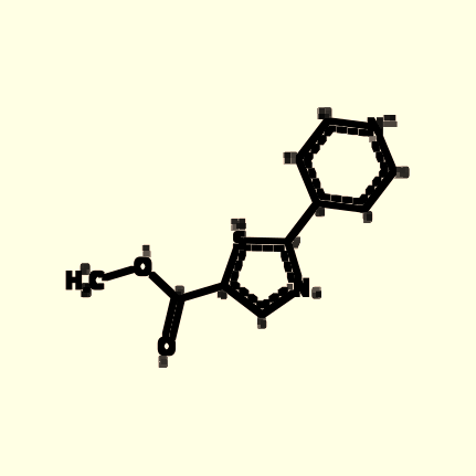 COC(=O)c1cnc(-c2ccncc2)s1